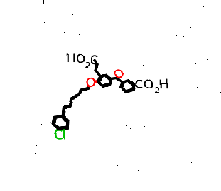 O=C(O)CCc1cc(C(=O)c2cccc(C(=O)O)c2)ccc1OCCCCCCc1ccc(Cl)cc1